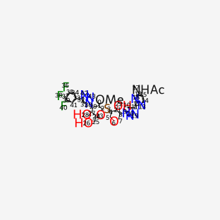 COC1C(SC2COCC(n3cc(-c4nccc(NC(C)=O)n4)nn3)C2O)OC(CO)C(O)C1n1cc(-c2cc(F)c(F)c(F)c2)nn1